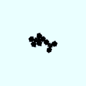 c1ccc(-c2cc(-c3ccccc3)nc(-c3ccc(-c4cccc(-c5c(-c6ccccc6)n6nc(-c7ccccc7)c(-c7ccccc7)c6c6ccccc56)c4)cc3)n2)cc1